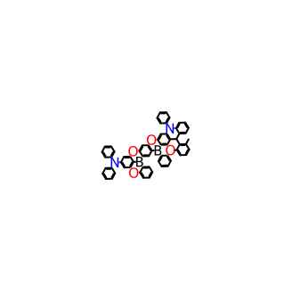 Cc1cccc(C)c1C1c2ccccc2N(c2ccccc2)c2cc3c4c(c21)Oc1ccccc1B4c1cc2c(cc1O3)Oc1cc(N(c3ccccc3)c3ccccc3)cc3c1B2c1ccccc1O3